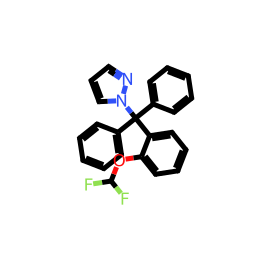 FC(F)Oc1ccccc1C(c1ccccc1)(c1ccccc1)n1cccn1